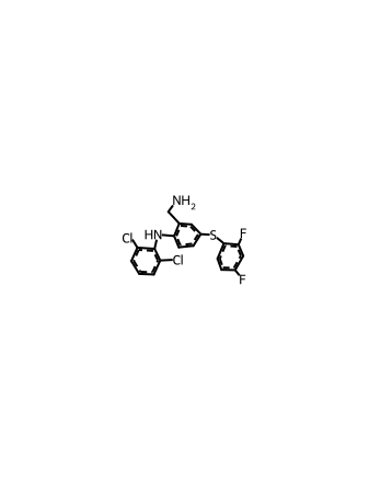 NCc1cc(Sc2ccc(F)cc2F)ccc1Nc1c(Cl)cccc1Cl